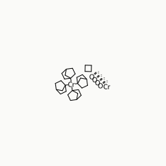 C1CCC1.C1C[C]2([Cr]([C]34CCC(CC3)C4)([C]34CCC(CC3)C4)[C]34CCC(CC3)C4)CCC1C2.[C]=O.[C]=O.[C]=O.[C]=O.[Cr]